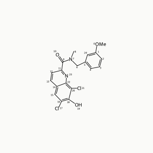 COc1cccc(CN(C)C(=O)c2ccc3cc(Cl)c(O)c(Cl)c3n2)c1